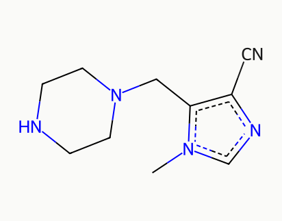 Cn1cnc(C#N)c1CN1CCNCC1